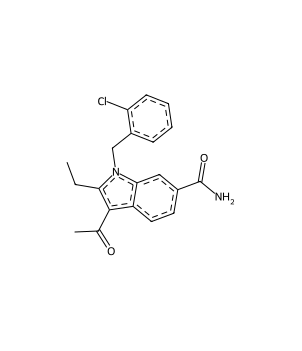 CCc1c(C(C)=O)c2ccc(C(N)=O)cc2n1Cc1ccccc1Cl